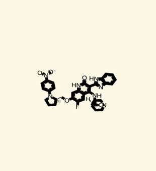 O=c1[nH]c2cc(OC[C@@H]3CCCN3c3ccc([N+](=O)[O-])cc3)c(F)cc2c(N[C@H]2CN3CCC2CC3)c1-c1nc2ccccc2[nH]1